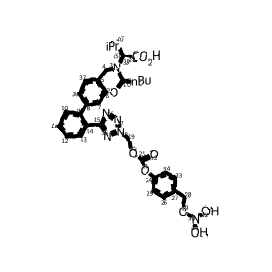 CCCCC(=O)N(Cc1ccc(-c2ccccc2-c2nnn(COC(=O)Oc3ccc(CON(O)O)cc3)n2)cc1)[C@H](C(=O)O)C(C)C